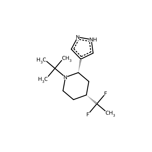 CC(F)(F)[C@@H]1CCN(C(C)(C)C)[C@H](c2cn[nH]c2)C1